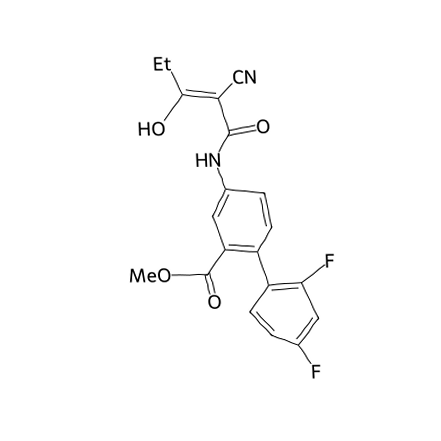 CCC(O)=C(C#N)C(=O)Nc1ccc(-c2ccc(F)cc2F)c(C(=O)OC)c1